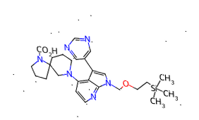 C[Si](C)(C)CCOCn1cc(-c2cncnc2)c2c(N3CCCC4(CCCN4C(=O)O)C3)ccnc21